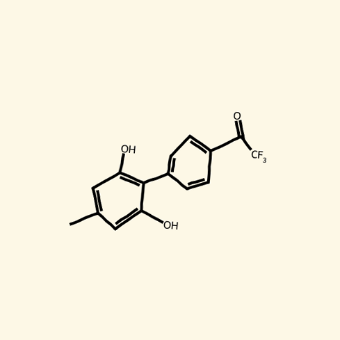 Cc1cc(O)c(-c2ccc(C(=O)C(F)(F)F)cc2)c(O)c1